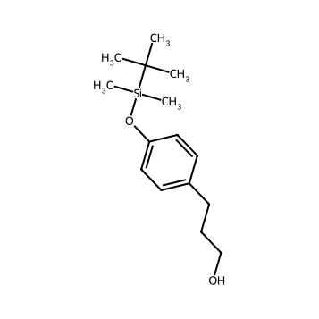 CC(C)(C)[Si](C)(C)Oc1ccc(CCCO)cc1